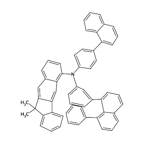 CC1(C)c2ccccc2-c2cc3c(N(c4ccc(-c5cccc6ccccc56)cc4)c4cccc(-c5cccc6cccc(-c7ccccc7)c56)c4)cccc3cc21